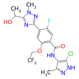 Cc1n[nH]c(Cl)c1NC(=O)c1cc(F)c(-c2nc(C(C)O)n(C)n2)cc1OCC(F)(F)F